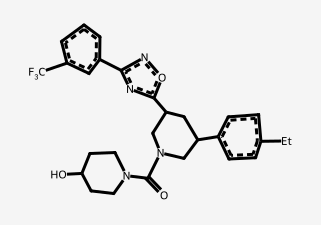 CCc1ccc(C2CC(c3nc(-c4cccc(C(F)(F)F)c4)no3)CN(C(=O)N3CCC(O)CC3)C2)cc1